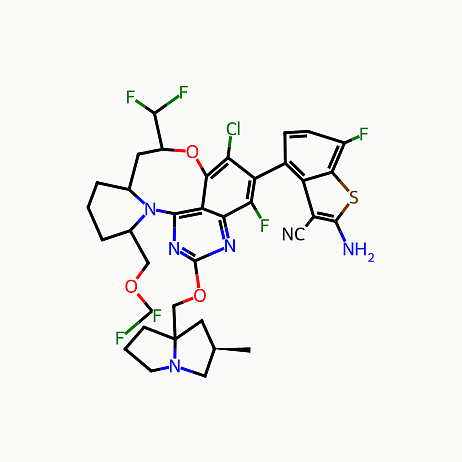 C[C@H]1CN2CCCC2(COc2nc3c4c(c(Cl)c(-c5ccc(F)c6sc(N)c(C#N)c56)c(F)c4n2)OC(C(F)F)CC2CCCC(COC(F)F)N32)C1